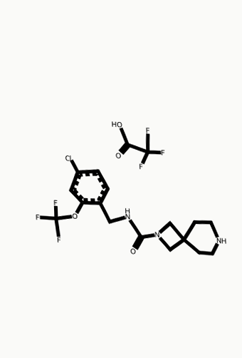 O=C(NCc1ccc(Cl)cc1OC(F)(F)F)N1CC2(CCNCC2)C1.O=C(O)C(F)(F)F